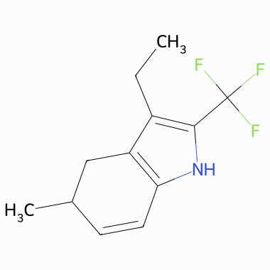 CCc1c(C(F)(F)F)[nH]c2c1CC(C)C=C2